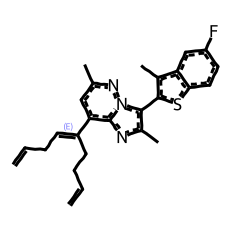 C=CC/C=C(\CCC=C)c1cc(C)nn2c(-c3sc4ccc(F)cc4c3C)c(C)nc12